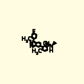 Cc1cc(F)ccc1-c1nncc2cc(-c3c(C)ccc4c(NC5CC5)noc34)ccc12